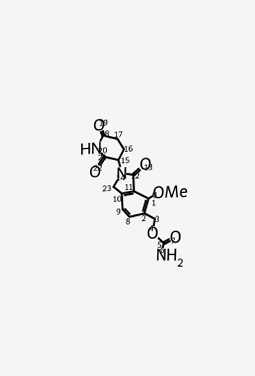 COc1c(COC(N)=O)ccc2c1C(=O)N(C1CCC(=O)NC1=O)C2